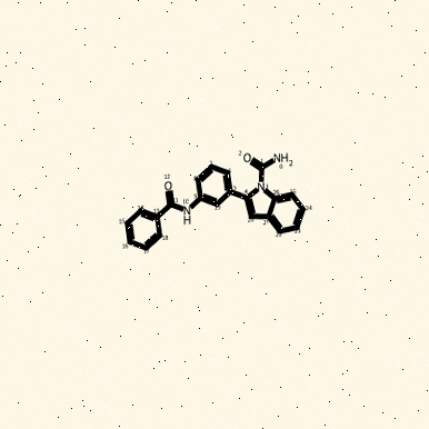 NC(=O)n1c(-c2cccc(NC(=O)c3ccccc3)c2)cc2ccccc21